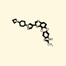 Cc1nc2ccc(Oc3ccc4ncc(-c5cnn(C6CCC(N7CCC7)CC6)c5)nc4c3Cl)cc2[nH]1